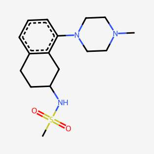 CN1CCN(c2cccc3c2CC(NS(C)(=O)=O)CC3)CC1